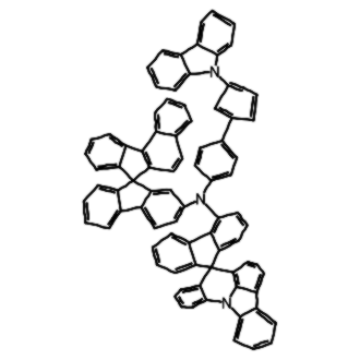 c1cc(-c2ccc(N(c3ccc4c(c3)C3(c5ccccc5-4)c4ccccc4-c4c3ccc3ccccc43)c3cccc4c3-c3ccccc3C43c4ccccc4-n4c5ccccc5c5cccc3c54)cc2)cc(-n2c3ccccc3c3ccccc32)c1